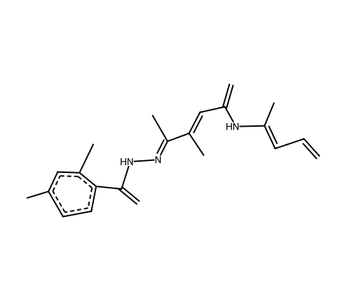 C=C/C=C(\C)NC(=C)/C=C(C)/C(C)=N/NC(=C)c1ccc(C)cc1C